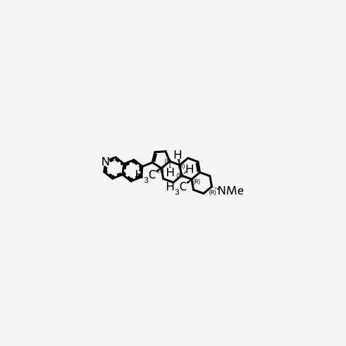 CN[C@@H]1CC[C@@]2(C)C(=CC[C@@H]3[C@@H]2CC[C@]2(C)C(c4ccc5ccncc5c4)=CC[C@@H]32)C1